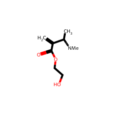 C=C(C(=O)OCCO)C(C)NC